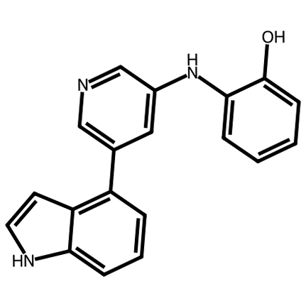 Oc1ccccc1Nc1cncc(-c2cccc3[nH]ccc23)c1